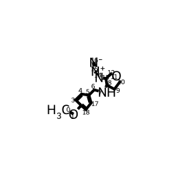 COc1ccc(CNC2CCOCC2N=[N+]=[N-])cc1